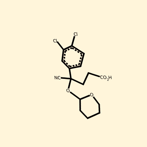 N#CC(CCC(=O)O)(OC1CCCCO1)c1ccc(Cl)c(Cl)c1